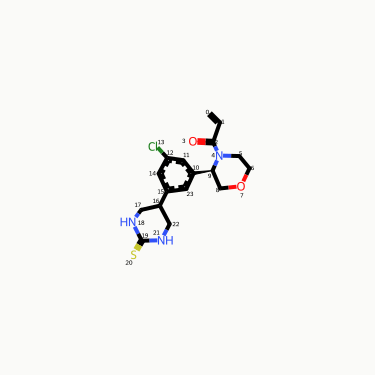 C=CC(=O)N1CCOC[C@H]1c1cc(Cl)cc(C2CNC(=S)NC2)c1